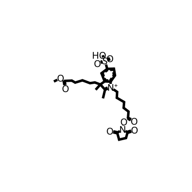 COC(=O)CCCCCC1(C)C(C)=[N+](CCCCCC(=O)ON2C(=O)CCC2=O)c2ccc(S(=O)(=O)O)cc21